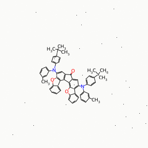 Cc1cccc(N(c2ccc(C(C)(C)C)cc2)c2cc3c(c4c2oc2ccccc24)-c2c(cc(N(c4ccc(C(C)(C)C)cc4)c4cccc(C)c4)c4c2oc2ccccc24)C3=O)c1